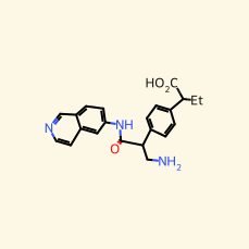 CCC(C(=O)O)c1ccc(C(CN)C(=O)Nc2ccc3cnccc3c2)cc1